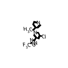 CC(c1ccncc1)N1C=C(c2noc(C(F)(F)F)n2)C=C(Cl)C1